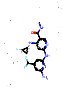 CNC(=O)c1cnc(Nc2cc(C(F)F)cc(N)n2)cc1N[C@@H]1C[C@@H]1F